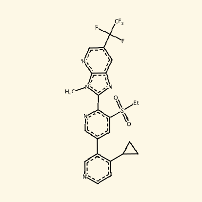 CCS(=O)(=O)c1cc(-c2cnccc2C2CC2)cnc1-c1nc2cc(C(F)(F)C(F)(F)F)cnc2n1C